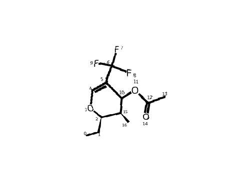 CC[C@H]1OC=C(C(F)(F)F)C(OC(C)=O)[C@H]1C